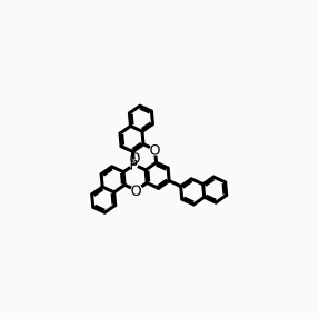 O=P12c3ccc4ccccc4c3Oc3cc(-c4ccc5ccccc5c4)cc(c31)Oc1c2ccc2ccccc12